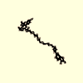 Cc1sc2c(c1C)C(c1ccc(Cl)cc1)=N[C@@H](CC(=O)NCCOCCOCCOCCOCCNc1ccc(-c3ccc4c(c3)CC(=O)N4)cn1)c1nnc(C)n1-2